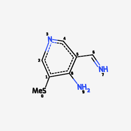 CSc1cncc(C=N)c1N